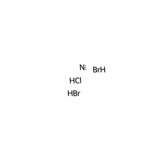 Br.Br.Cl.[N]